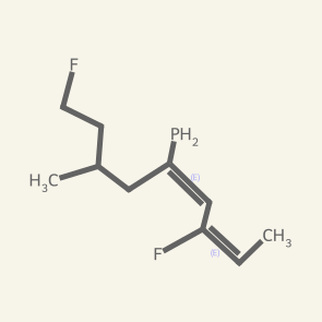 C/C=C(F)\C=C(\P)CC(C)CCF